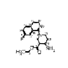 CCOC(=O)C1CN(c2nccc3ccc(F)cc23)CCC1N